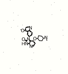 COc1ccnc2ccc(-n3c(=O)[nH]c4nccc(OC5CCC(N(C)C)CC5)c43)cc12